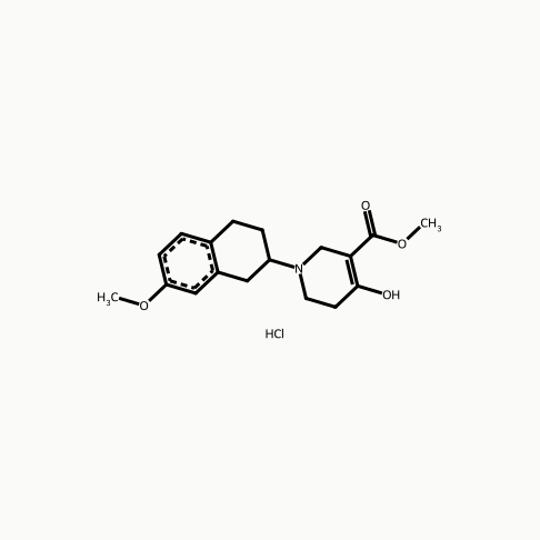 COC(=O)C1=C(O)CCN(C2CCc3ccc(OC)cc3C2)C1.Cl